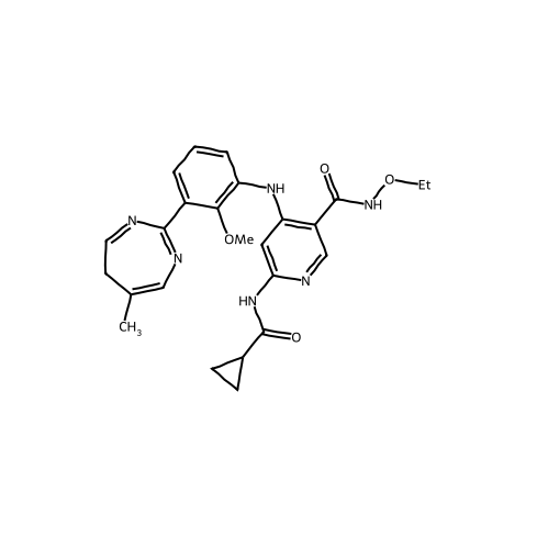 CCONC(=O)c1cnc(NC(=O)C2CC2)cc1Nc1cccc(C2=NC=C(C)CC=N2)c1OC